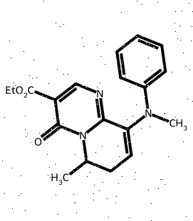 CCOC(=O)c1cnc2n(c1=O)C(C)CC=C2N(C)c1ccccc1